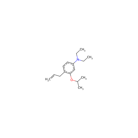 C=CCc1ccc(N(CC)CC)cc1OC(C)C